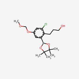 COCOc1cc(Cl)c(CCCO)c(B2OC(C)(C)C(C)(C)O2)c1